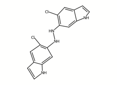 Clc1cc2cc[nH]c2cc1NNc1cc2[nH]ccc2cc1Cl